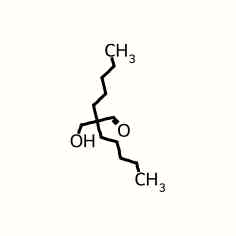 CCCCCC(C=O)(CO)CCCCC